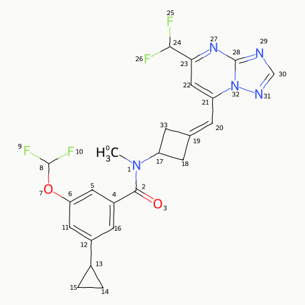 CN(C(=O)c1cc(OC(F)F)cc(C2CC2)c1)C1CC(=Cc2cc(C(F)F)nc3ncnn23)C1